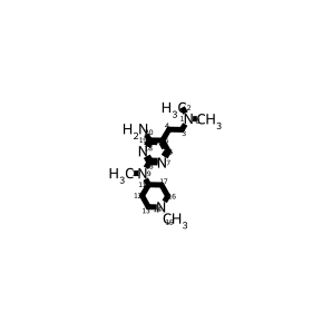 CN(C)CCc1cnc(N(C)C2CCN(C)CC2)nc1N